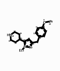 CCn1nc(Cc2ccc(OC(C)C)cc2)cc1C1CCNCC1